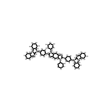 c1ccc(-n2c(-c3ccc(-n4c5ccccc5n5c6ccccc6nc45)cc3)nc3cc4c(cc32)nc(-c2ccc(-n3c5ccccc5n5c6ccccc6nc35)cc2)n4-c2ccccc2)cc1